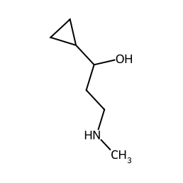 CNCCC(O)C1CC1